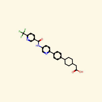 O=C(O)CC1CCC(c2ccc(-c3ccc(NC(=O)c4ccc(C(F)(F)F)nc4)cn3)cc2)CC1